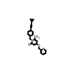 Cc1cc(OCc2ccccn2)cc(=O)n1Cc1ccc(C#CC2CC2)cc1